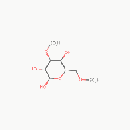 O=S(=O)(O)OC[C@H]1O[C@@H](O)[C@H](O)[C@@H](OS(=O)(=O)O)[C@H]1O